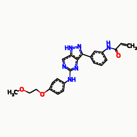 C=CC(=O)Nc1cccc(-c2n[nH]c3cnc(Nc4ccc(OCCOC)cc4)nc23)c1